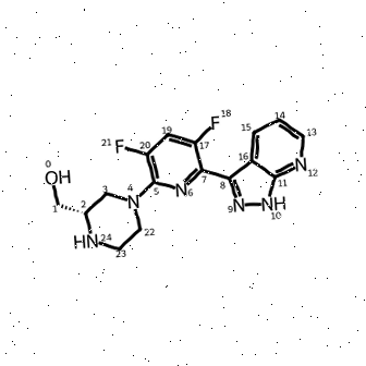 OC[C@@H]1CN(c2nc(-c3n[nH]c4ncccc34)c(F)cc2F)CCN1